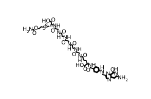 NC(=O)OCCSSC[C@@H](NC(=O)CNC(=O)CNC(=O)CNC(=O)CNC(=O)CNC(=O)CC[C@@H](NC(=O)c1ccc(NCc2cnc3cc(N)[nH]c(=O)c3n2)cc1)C(=O)O)C(=O)O